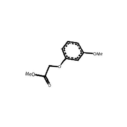 COC(=O)COc1[c]ccc(OC)c1